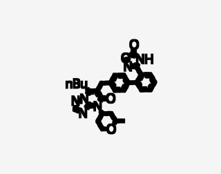 CCCCc1c(Cc2ccc(-c3ccccc3-c3noc(=O)[nH]3)cc2)c(=O)n(C2CCOC(C)C2)c2ncnn12